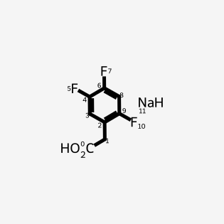 O=C(O)Cc1cc(F)c(F)cc1F.[NaH]